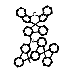 CC1(C)c2ccccc2-c2ccc(N(c3cccc4c3-c3ccccc3C43c4ccccc4-c4ccccc43)c3cccc4c3-c3ccccc3C43c4ccc5ccccc5c4Oc4c3ccc3ccccc43)cc21